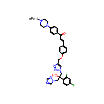 CCCCCN1CCN(c2ccc(C(=O)C=Cc3ccc(OCc4cn(CC(O)(Cn5cncn5)c5ccc(F)cc5F)nn4)cc3)cc2)CC1